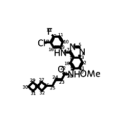 COc1cc2ncnc(Nc3ccc(F)c(Cl)c3)c2cc1NC(=O)/C=C/CC1CC2(CCC2)C1